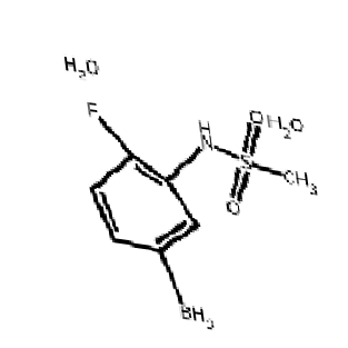 Bc1ccc(F)c(NS(C)(=O)=O)c1.O.O